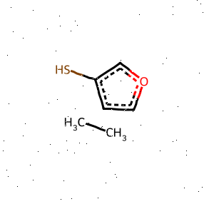 CC.Sc1ccoc1